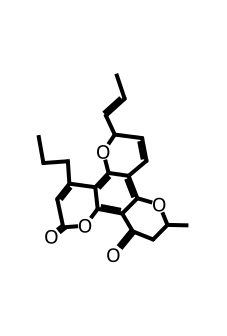 C/C=C/C1C=Cc2c3c(c4oc(=O)cc(CCC)c4c2O1)C(=O)CC(C)O3